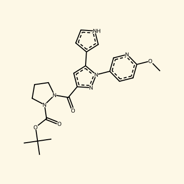 COc1ccc(-n2nc(C(=O)N3CCCN3C(=O)OC(C)(C)C)cc2-c2cc[nH]c2)cn1